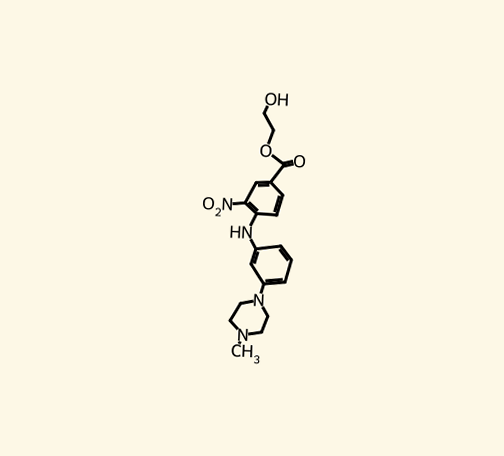 CN1CCN(c2cccc(Nc3ccc(C(=O)OCCO)cc3[N+](=O)[O-])c2)CC1